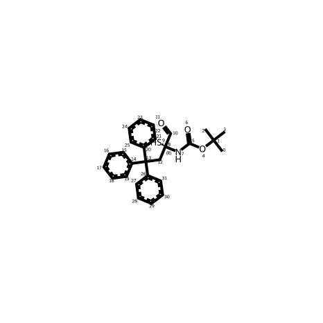 CC(C)(C)OC(=O)N[C@](S)(C=O)CC(c1ccccc1)(c1ccccc1)c1ccccc1